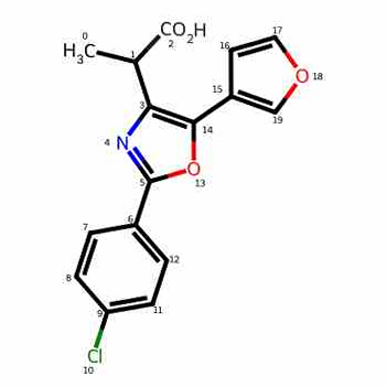 CC(C(=O)O)c1nc(-c2ccc(Cl)cc2)oc1-c1ccoc1